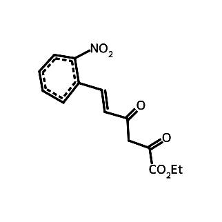 CCOC(=O)C(=O)CC(=O)C=Cc1ccccc1[N+](=O)[O-]